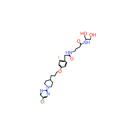 O=C(Cc1ccc(OCCCC2CCN(c3ncc(Cl)cn3)CC2)cc1F)NCCCC(=O)NC(CO)CO